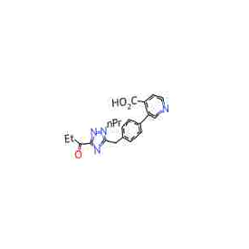 CCCn1nc(C(=O)CC)nc1Cc1ccc(-c2cnccc2C(=O)O)cc1